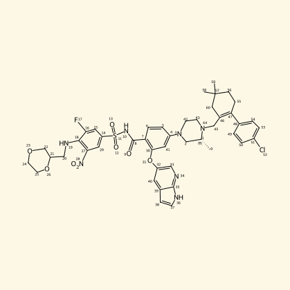 C[C@@H]1CN(c2ccc(C(=O)NS(=O)(=O)c3cc(F)c(NCC4COCCO4)c([N+](=O)[O-])c3)c(Oc3cnc4[nH]ccc4c3)c2)CCN1CC1=C(c2ccc(Cl)cc2)CCC(C)(C)C1